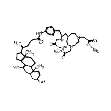 CC(CCC(=O)Nc1ccc(CC(CN2CCN(CC(=O)OC(C)(C)C)CCN(CC(=O)OC(C)(C)C)CC2)NCC(=O)OC(C)(C)C)cc1)C1CCC2C3C(O)CC4CC(O)CCC4(C)C3CCC12C